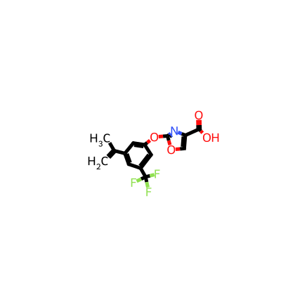 C=C(C)c1cc(Oc2nc(C(=O)O)co2)cc(C(F)(F)F)c1